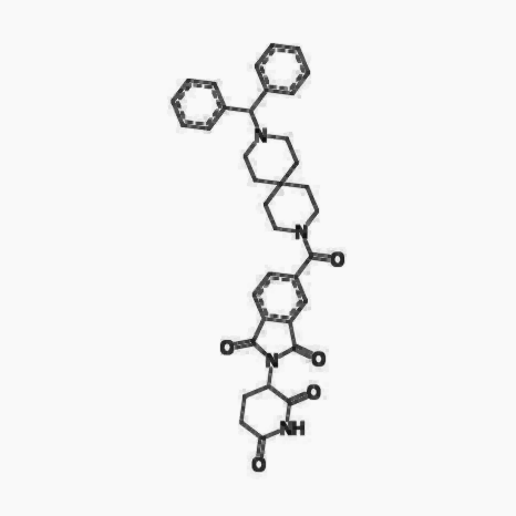 O=C1CCC(N2C(=O)c3ccc(C(=O)N4CCC5(CC4)CCN(C(c4ccccc4)c4ccccc4)CC5)cc3C2=O)C(=O)N1